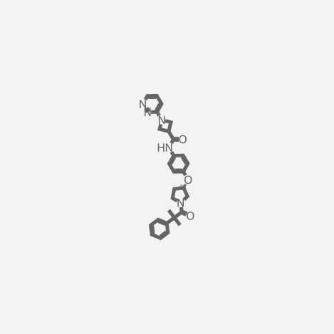 CC(C)(C(=O)N1CC[C@@H](Oc2ccc(NC(=O)C3CN(c4cccnn4)C3)cc2)C1)c1ccccc1